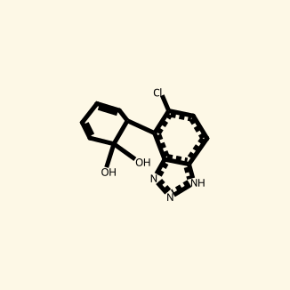 OC1(O)C=CC=CC1c1c(Cl)ccc2[nH]nnc12